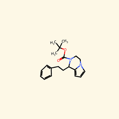 CC(C)(C)OC(=O)N1CCn2cccc2C1CCc1ccccc1